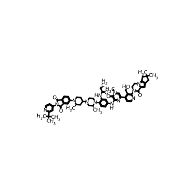 C=CC(=O)Nc1cc(Nc2nc(-c3ccnc(N4CCn5c(cc6c5CC(C)(C)C6)C4=O)c3CO)cn(C)c2=O)ccc1N1CCN(C2CCN(c3ccc4c(c3)C(=O)N(c3ccnc(C(C)(C)C)c3)C4=O)[C@H](C)C2)C[C@@H]1C